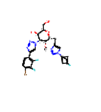 CO[C@@H]1[C@@H](n2cc(-c3ccc(Br)c(F)c3F)nn2)[C@@H](O)[C@@H](CO)O[C@@H]1Cc1cn(C23CC(F)(C2)C3)nn1